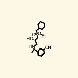 CCOP(=O)(CC1CCCCC1)C[C@@H](O)CNC(C)c1cccc(C#N)c1